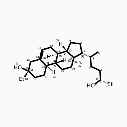 CC[C@H](O)CCC(C)[C@H]1CC[C@H]2[C@@H]3CC=C4C[C@](O)(CC)CC[C@@H]4[C@H]3CC[C@]12C